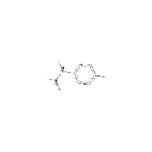 Cc1ccc([SiH](C)[SiH](C)C)cc1